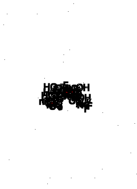 CCC[C@H](OC1C(OC(=O)c2ccccc2)[C@H](O[C@@H]2CC(C(=O)NCCNC(=O)C3CC(n4cc(-c5cc(F)c(F)c(F)c5)nn4)C(O)[C@H](O[C@@H]4OC(CO)[C@H](O)C(n5cc(-c6cc(F)c(F)c(F)c6)nn5)C4O)C3)CC(CC)C2O[C@@H](CO)OC(C)[C@@H](O)C(C)O)OC(CO)[C@@H]1O)C(=O)N1CCC1